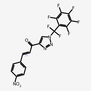 O=C(/C=C/c1ccc([N+](=O)[O-])cc1)c1cn(C(F)(F)c2c(F)c(F)c(F)c(F)c2F)nn1